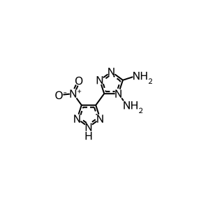 Nc1nnc(-c2n[nH]nc2[N+](=O)[O-])n1N